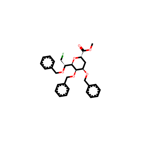 COC(=O)[C@@H]1C[C@@H](OCc2ccccc2)[C@@H](OCc2ccccc2)[C@@H]([C@@H](CF)OCc2ccccc2)O1